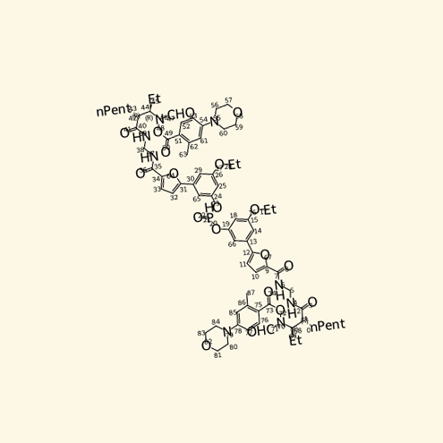 CCCCC[C@@H](C(=O)NCNC(=O)c1ccc(-c2cc(OCC)cc(O[PH](=O)Oc3cc(OCC)cc(-c4ccc(C(=O)NCNC(=O)[C@H](CCCCC)[C@@H](CC)N(C=O)OC(=O)c5ccc(N6CCOCC6)cc5C)o4)c3)c2)o1)[C@@H](CC)N(C=O)OC(=O)c1ccc(N2CCOCC2)cc1C